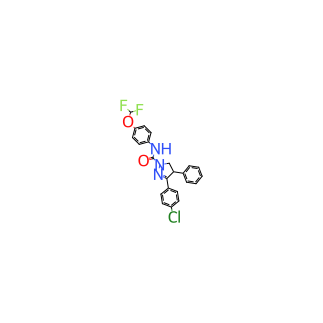 O=C(Nc1ccc(OC(F)F)cc1)N1CC(c2ccccc2)C(c2ccc(Cl)cc2)=N1